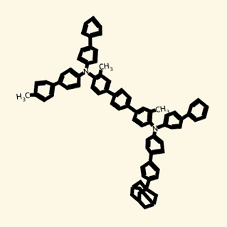 Cc1ccc(-c2ccc(N(c3ccc(-c4ccccc4)cc3)c3ccc(-c4ccc(-c5ccc(N(c6ccc(-c7ccccc7)cc6)c6ccc(-c7ccc(C89CC%10CC(CC(C%10)C8)C9)cc7)cc6)c(C)c5)cc4)cc3C)cc2)cc1